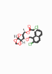 C[C@@H](OC(=O)CCl)[C@H]1O[C@@H]2OCO[C@@H]2[C@H]1OCc1c(Cl)ccc2ccccc12